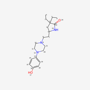 CCC1(CC)CC(CCN2CCN(c3ccc(O)cc3)CC2)NC1=O